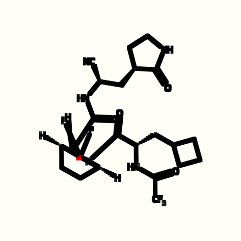 N#C[C@@H](C[C@H]1CCNC1=O)NC(=O)[C@H]1[C@@H]2CC[C@@H](CC2(F)F)N1C(=O)[C@H](CC1CCC1)NC(=O)C(F)(F)F